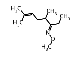 CC/C(=N\OC)C(C)CC=C(C)C